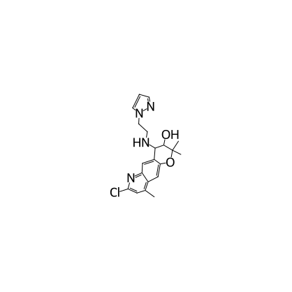 Cc1cc(Cl)nc2cc3c(cc12)OC(C)(C)C(O)C3NCCn1cccn1